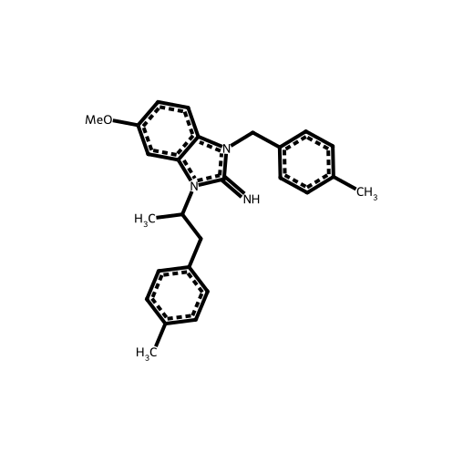 COc1ccc2c(c1)n(C(C)Cc1ccc(C)cc1)c(=N)n2Cc1ccc(C)cc1